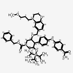 COCCCN1CCOc2ccc(COC3CN(C(=O)OCc4ccccc4)CC(O[Si](C(C)C)(C(C)C)C(C)C)C3c3ccc(Oc4ccc(C(C)=O)cc4)cc3)cc21